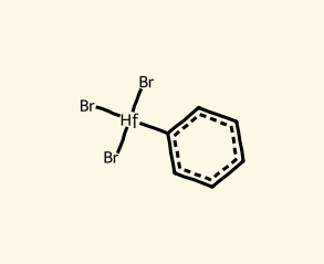 [Br][Hf]([Br])([Br])[c]1ccccc1